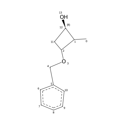 CC1C(OCc2ccccc2)C[C@H]1O